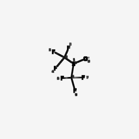 [O-][S+](C(F)(F)F)C(F)(F)F